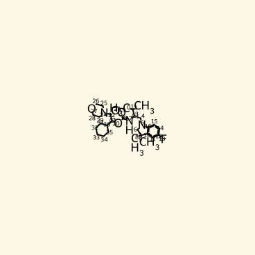 CC(C)[C@@H](CN1CC(C)(C)c2cc(F)ccc21)NC(=O)O[C@H](C(=O)N1CCOCC1)C1CCCCC1